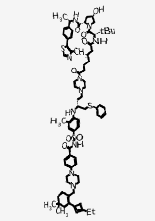 CCC12CC(C3=C(CN4CCN(c5ccc(C(=O)NS(=O)(=O)c6ccc(N[C@H](CCN7CCN(C(=O)CCCCCC(=O)N[C@H](C(=O)N8C[C@H](O)C[C@H]8C(=O)N[C@@H](C)c8ccc(-c9scnc9C)cc8)C(C)(C)C)CC7)CSc7ccccc7)c(C)c6)cc5)CC4)CCC(C)(C)C3)(C1)C2